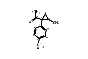 CC1CC1(C(N)=O)c1ccc([N+](=O)[O-])cc1